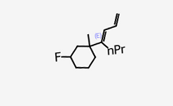 C=C/C=C(\CCC)C1(C)CCCC(F)C1